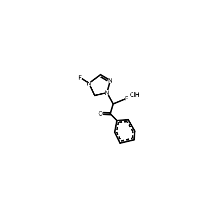 Cl.O=C(c1ccccc1)C(F)N1CN(F)C=N1